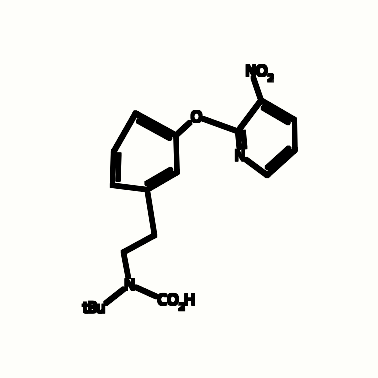 CC(C)(C)N(CCc1cccc(Oc2ncccc2[N+](=O)[O-])c1)C(=O)O